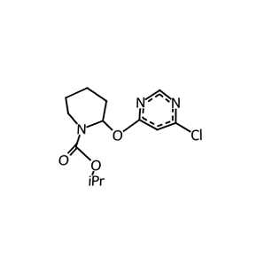 CC(C)OC(=O)N1CCCCC1Oc1cc(Cl)ncn1